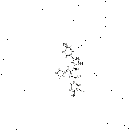 O=C(/N=C(\Nc1cc(-c2ccc(F)cc2)n[nH]1)NC1CCCC1)c1ccc(F)c(F)c1